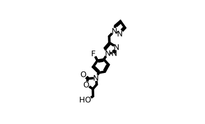 O=C1OC(CO)CN1c1ccc(-n2cc(Cn3cccn3)nn2)c(F)c1